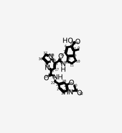 Cc1c(C(=O)O)ccc2c1CC[C@@H]2NC(=O)c1cc(C(=O)NCc2ccc3c(c2)OCC(=O)N3)nc2ccnn12